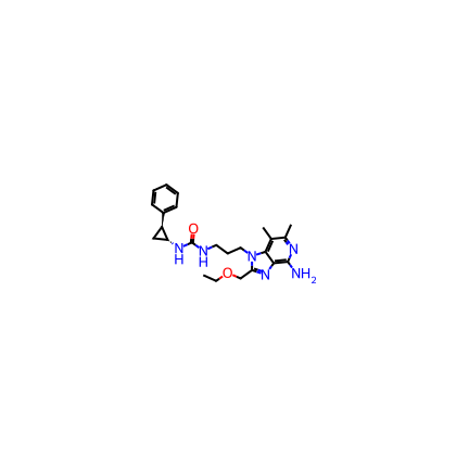 CCOCc1nc2c(N)nc(C)c(C)c2n1CCCNC(=O)N[C@@H]1C[C@H]1c1ccccc1